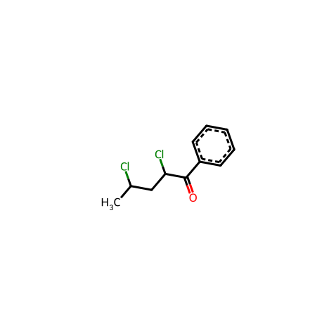 CC(Cl)CC(Cl)C(=O)c1ccccc1